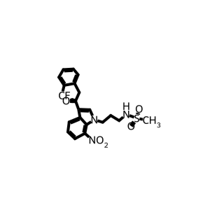 CS(=O)(=O)NCCCn1cc(C(=O)Cc2ccccc2C(F)(F)F)c2cccc([N+](=O)[O-])c21